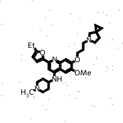 CCc1ccc(-c2cc(NC3CCN(C)CC3)c3cc(OC)c(OCCCN4CCC5(CC5)C4)cc3n2)o1